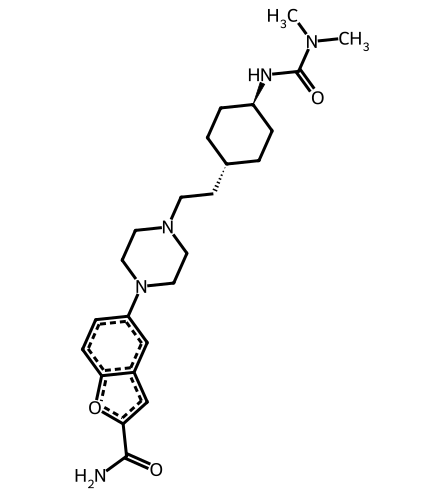 CN(C)C(=O)N[C@H]1CC[C@H](CCN2CCN(c3ccc4oc(C(N)=O)cc4c3)CC2)CC1